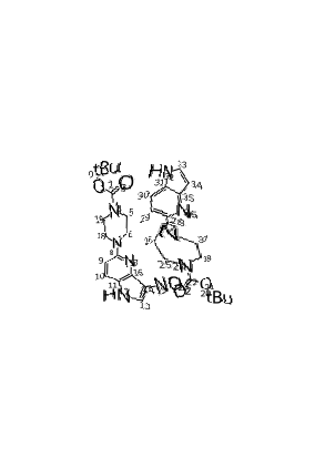 CC(C)(C)OC(=O)N1CCN(c2ccc3[nH]cc([N+](=O)[O-])c3n2)CC1.CC(C)(C)OC(=O)N1CCN(c2ccc3[nH]ccc3n2)CC1